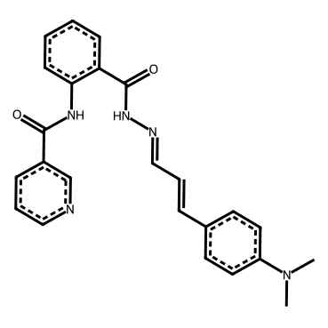 CN(C)c1ccc(C=CC=NNC(=O)c2ccccc2NC(=O)c2cccnc2)cc1